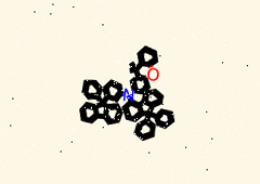 CC1(C)c2ccccc2Oc2ccc(N(c3cccc(C4(c5ccccc5)c5ccccc5-c5ccccc54)c3)c3cccc4c3-c3ccccc3C4(c3ccccc3)c3ccccc3)cc21